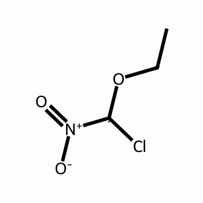 CCO[C](Cl)[N+](=O)[O-]